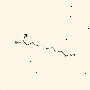 CCC(O)CCCCCCCC[CH]O